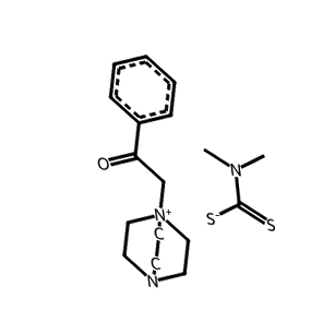 CN(C)C(=S)[S-].O=C(C[N+]12CCN(CC1)CC2)c1ccccc1